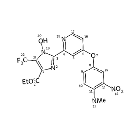 CCOC(=O)c1nc(-c2cc(Oc3ccc(NC)c([N+](=O)[O-])c3)ccn2)n(O)c1C(F)(F)F